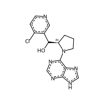 OC(c1cnccc1Cl)[C@H]1CCCN1c1ncnc2[nH]cnc12